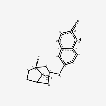 CN1C2CC[C@@H]1CC(Sc1ccc3[nH]c(=O)ccc3c1)C2